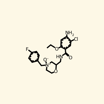 CCOc1cc(N)c(Cl)cc1C(=O)NCC1C[N+]([O-])(Cc2ccc(F)cc2)CCO1